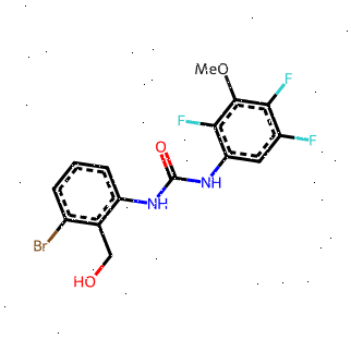 COc1c(F)c(F)cc(NC(=O)Nc2cccc(Br)c2CO)c1F